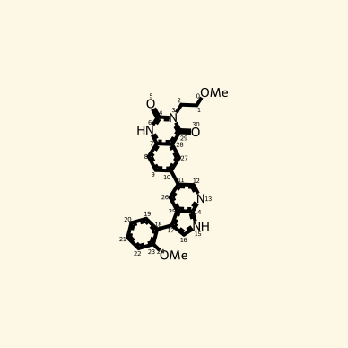 COCCn1c(=O)[nH]c2ccc(-c3cnc4[nH]cc(-c5ccccc5OC)c4c3)cc2c1=O